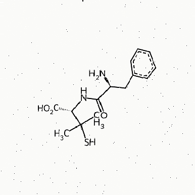 CC(C)(S)[C@@H](NC(=O)[C@@H](N)Cc1ccccc1)C(=O)O